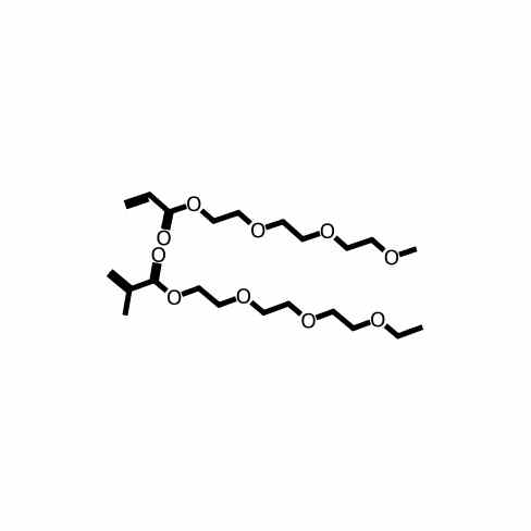 C=C(C)C(=O)OCCOCCOCCOCC.C=CC(=O)OCCOCCOCCOC